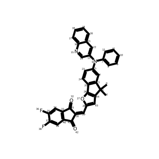 CC1(C)c2cc(N(c3ccccc3)c3cnc4ccccc4c3)ccc2-c2oc(C=C3C(=O)c4cc(F)c(F)cc4C3=O)cc21